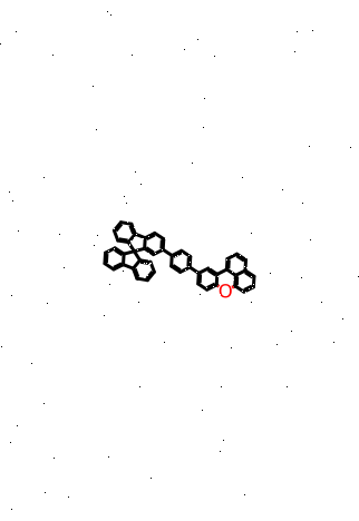 c1ccc2c(c1)-c1ccccc1C21c2ccccc2-c2ccc(-c3ccc(-c4ccc5c(c4)-c4cccc6cccc(c46)O5)cc3)cc21